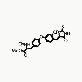 COC(=O)[C@H](Cc1ccc(Oc2ccc(/C=C3\SC(=S)NC3=O)c(C(F)(F)F)c2)cc1)NCl